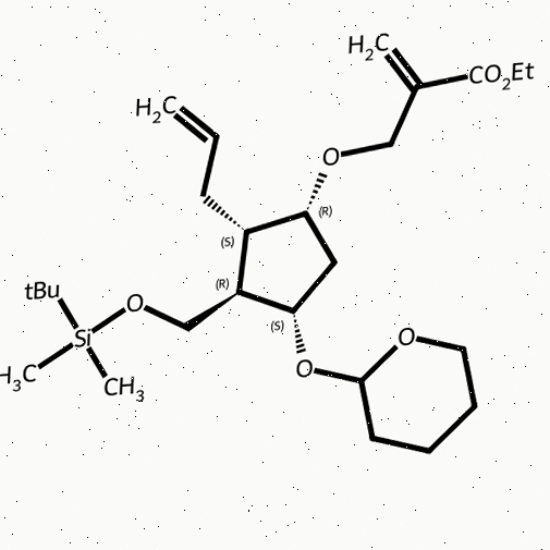 C=CC[C@H]1[C@H](CO[Si](C)(C)C(C)(C)C)[C@@H](OC2CCCCO2)C[C@H]1OCC(=C)C(=O)OCC